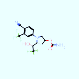 N#Cc1ccc(N2CC(OC(N)=O)C[C@@H]2[C@H](O)C(F)(F)F)cc1C(F)(F)F